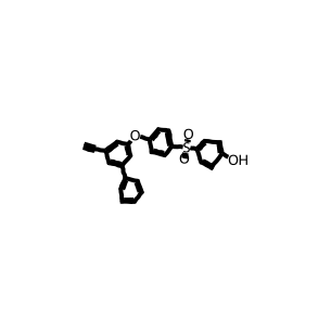 C#Cc1cc(Oc2ccc(S(=O)(=O)c3ccc(O)cc3)cc2)cc(-c2ccccc2)c1